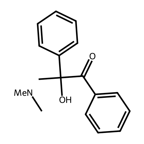 CC(O)(C(=O)c1ccccc1)c1ccccc1.CNC